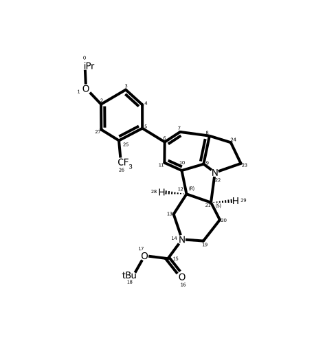 CC(C)Oc1ccc(-c2cc3c4c(c2)[C@@H]2CN(C(=O)OC(C)(C)C)CC[C@@H]2N4CC3)c(C(F)(F)F)c1